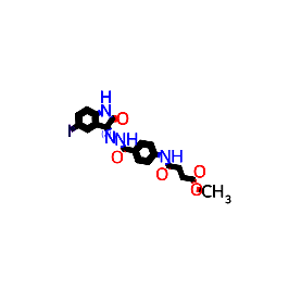 COC(=O)CCC(=O)Nc1ccc(C(=O)N/N=C2\C(=O)Nc3ccc(I)cc32)cc1